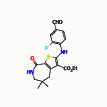 CCOC(=O)c1c(Nc2ccc(C=O)cc2F)sc2c1CC(C)(C)CNC2=O